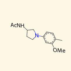 COc1cc(N2CCC(NC(C)=O)C2)ccc1C